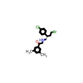 Cc1cc(C)cc(C(=O)CNC[C@@H](CCBr)c2ccc(Cl)cc2)c1